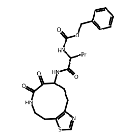 CC(C)C(NC(=O)OCc1ccccc1)C(=O)NC1CCc2ncsc2CCNC(=O)C1=O